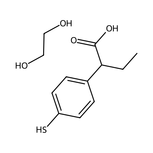 CCC(C(=O)O)c1ccc(S)cc1.OCCO